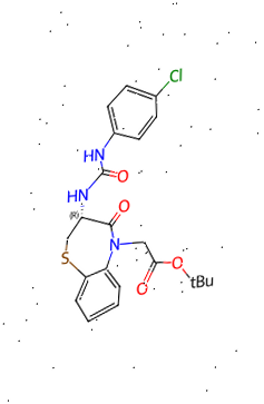 CC(C)(C)OC(=O)CN1C(=O)[C@@H](NC(=O)Nc2ccc(Cl)cc2)CSc2ccccc21